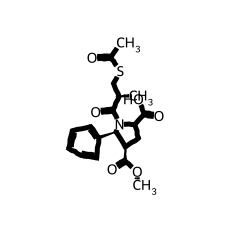 COC(=O)[C@@H]1CC(C(=O)O)N(C(=O)[C@H](C)CSC(C)=O)[C@@H]1c1ccccc1